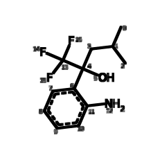 CC(C)CC(O)(c1ccccc1N)C(F)(F)F